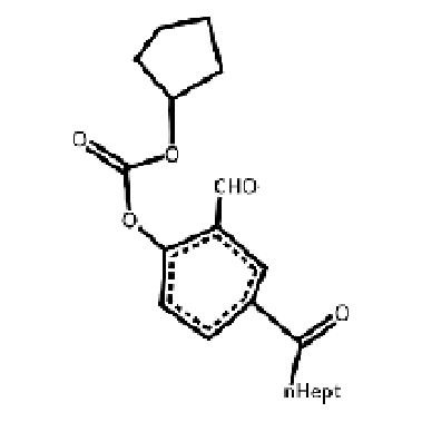 CCCCCCCC(=O)c1ccc(OC(=O)OC2CCCC2)c([C]=O)c1